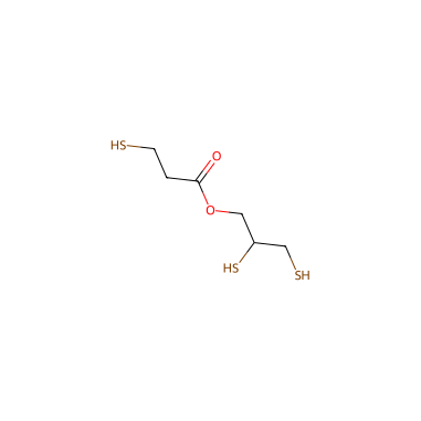 O=C(CCS)OCC(S)CS